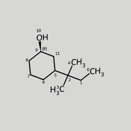 CCC(C)(C)C1CCC[C@@H](O)C1